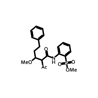 COC(CCc1ccccc1)C(C(C)=O)C(=O)Nc1ccccc1S(=O)(=O)OC